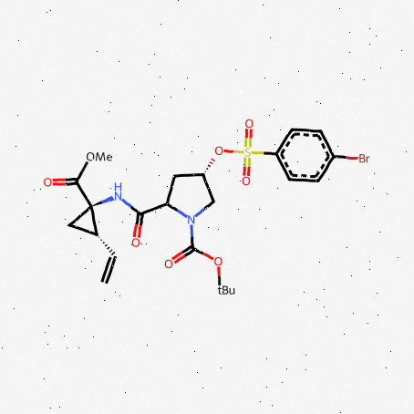 C=C[C@@H]1C[C@]1(NC(=O)C1C[C@H](OS(=O)(=O)c2ccc(Br)cc2)CN1C(=O)OC(C)(C)C)C(=O)OC